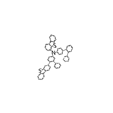 c1ccc(-c2ccccc2-c2ccc(N(c3ccc(-c4ccc5c(c4)sc4ccccc45)c(-c4ccccc4)c3)c3cccc4c3sc3ccccc34)cc2)cc1